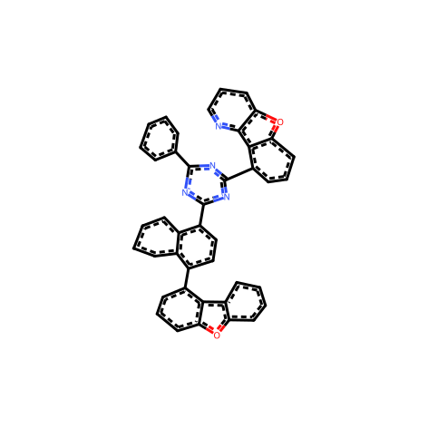 c1ccc(-c2nc(-c3ccc(-c4cccc5oc6ccccc6c45)c4ccccc34)nc(-c3cccc4oc5cccnc5c34)n2)cc1